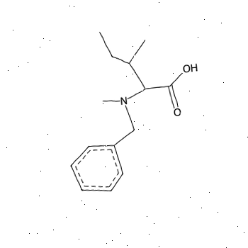 CCC(C)C(C(=O)O)N(C)Cc1ccccc1